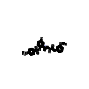 COc1cccc(CC(=O)N/N=C(\C)c2cc(F)ccc2OS(=O)(=O)c2ccc(C(F)(F)F)cc2)c1